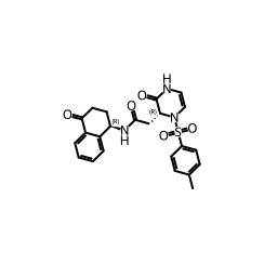 Cc1ccc(S(=O)(=O)N2C=CNC(=O)[C@H]2CC(=O)N[C@@H]2CCC(=O)c3ccccc32)cc1